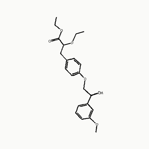 CCOC(=O)C(Cc1ccc(OCC(O)c2cccc(OC)c2)cc1)OCC